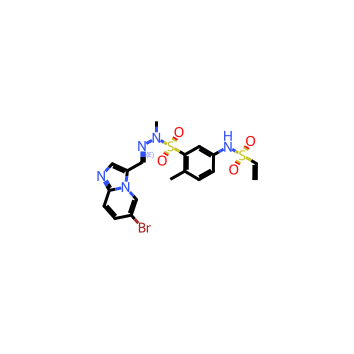 C=CS(=O)(=O)Nc1ccc(C)c(S(=O)(=O)N(C)/N=C/c2cnc3ccc(Br)cn23)c1